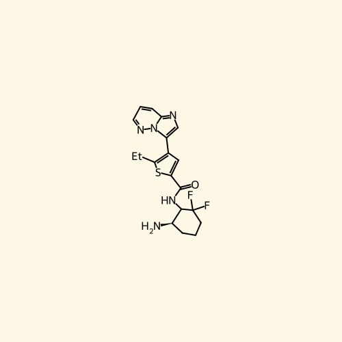 CCc1sc(C(=O)NC2[C@H](N)CCCC2(F)F)cc1-c1cnc2cccnn12